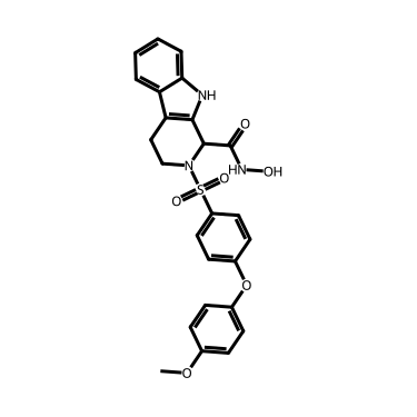 COc1ccc(Oc2ccc(S(=O)(=O)N3CCc4c([nH]c5ccccc45)C3C(=O)NO)cc2)cc1